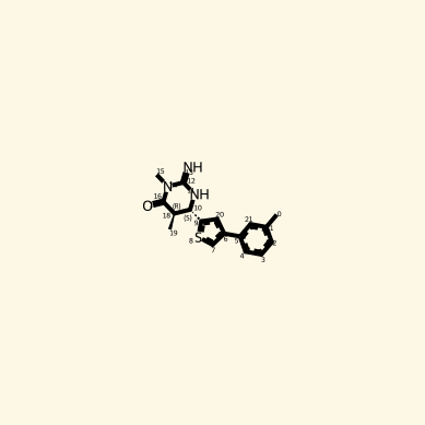 Cc1cccc(-c2csc([C@H]3NC(=N)N(C)C(=O)[C@@H]3C)c2)c1